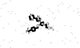 C=CC(=O)N1C[C@@H](n2cc(-c3cnccn3)nn2)[C@H](OCc2ccc(C(F)(F)F)cc2)C1